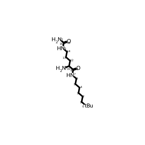 CC(C)(C)CCCCCCNC(=O)C(N)CCCNC(N)=O